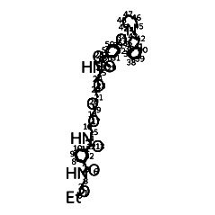 CCOCCNC(=O)c1cccc(C(=O)NCCOCCOCCOCCNS(=O)(=O)c2ccc(O[C@H]3c4ccccc4C[C@@H]3N3CCCCC3)cc2)c1